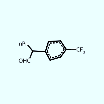 CCCC(C=O)c1ccc(C(F)(F)F)cc1